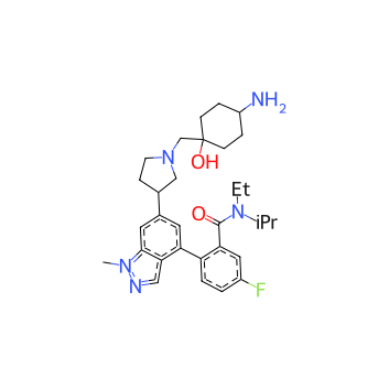 CCN(C(=O)c1cc(F)ccc1-c1cc(C2CCN(CC3(O)CCC(N)CC3)C2)cc2c1cnn2C)C(C)C